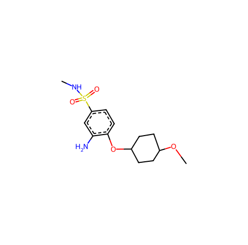 CNS(=O)(=O)c1ccc(OC2CCC(OC)CC2)c(N)c1